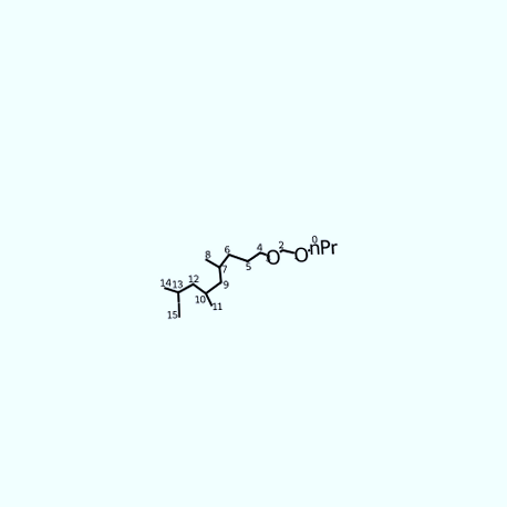 CCCOCOCCCC(C)CC(C)CC(C)I